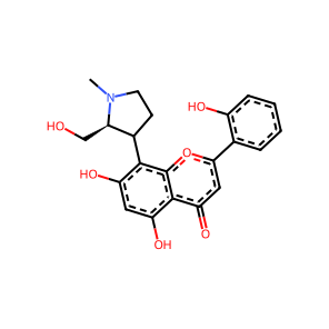 CN1CCC(c2c(O)cc(O)c3c(=O)cc(-c4ccccc4O)oc23)[C@H]1CO